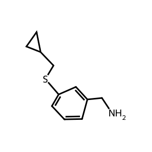 NCc1cccc(SCC2CC2)c1